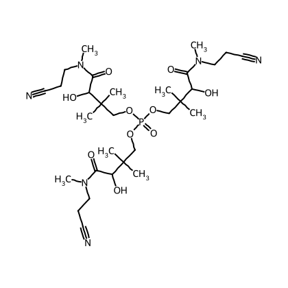 CN(CCC#N)C(=O)C(O)C(C)(C)COP(=O)(OCC(C)(C)C(O)C(=O)N(C)CCC#N)OCC(C)(C)C(O)C(=O)N(C)CCC#N